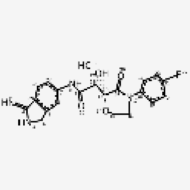 Cl.N=C1NCc2cc(NC(=O)[C@H](O)[C@H]3OCCN(c4ccc(F)cc4)C3=O)ccc21